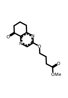 COC(=O)CCCOc1cnc2c(n1)CCCC2=O